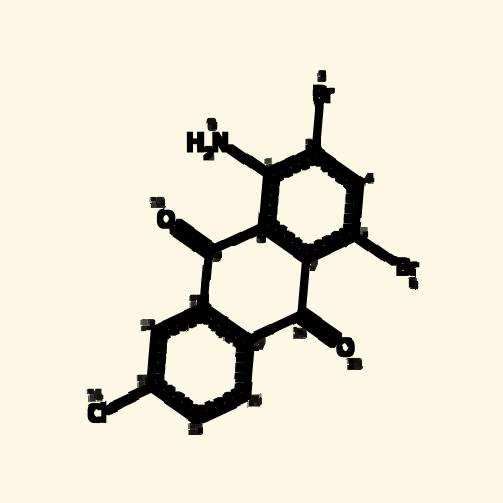 Nc1c(Br)cc(Br)c2c1C(=O)c1cc(Cl)ccc1C2=O